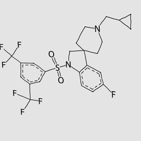 O=S(=O)(c1cc(C(F)(F)F)cc(C(F)(F)F)c1)N1CC2(CCN(CC3CC3)CC2)c2cc(F)ccc21